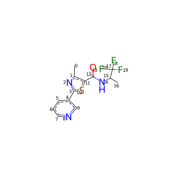 Cc1nc(-c2cccnc2)sc1C(=O)NC(C)C(F)(F)F